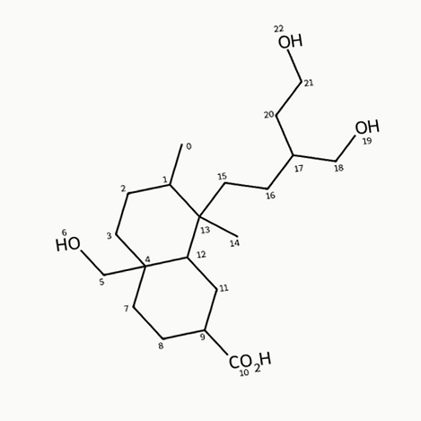 CC1CCC2(CO)CCC(C(=O)O)CC2C1(C)CCC(CO)CCO